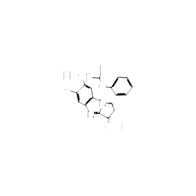 Cc1cc2c(cc1F)nc1n2[C@H](c2ccccc2OC(F)F)C[C@H]1O